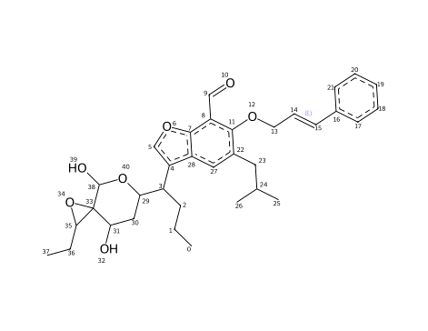 CCCC(c1coc2c(C=O)c(OC/C=C/c3ccccc3)c(CC(C)C)cc12)C1CC(O)C2(OC2CC)C(O)O1